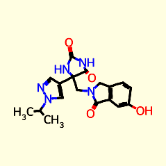 CC(C)n1cc(C2(CN3Cc4ccc(O)cc4C3=O)NC(=O)NC2=O)cn1